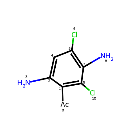 CC(=O)c1c(N)cc(Cl)c(N)c1Cl